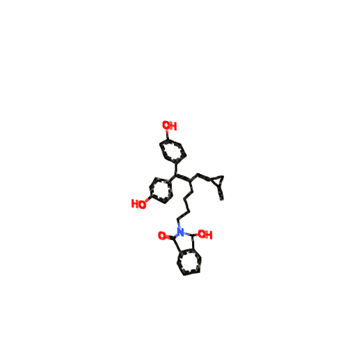 C=C1C/C1=C/C(CCCCN1C(=O)c2ccccc2C1O)=C(c1ccc(O)cc1)c1ccc(O)cc1